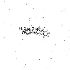 CN1N=C(C(=O)Nc2ccc(CC3=CCCCC3)cn2)CCC1=O